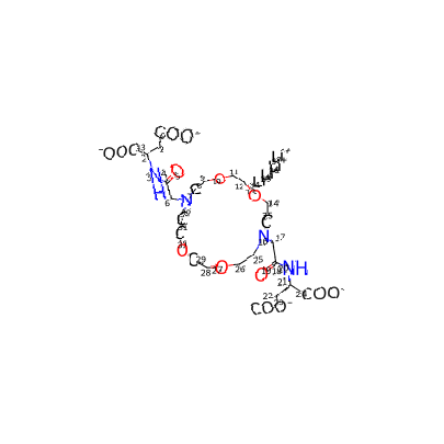 O=C([O-])CC(NC(=O)CN1CCOCCOCCN(CC(=O)NC(CC(=O)[O-])C(=O)[O-])CCOCCOCC1)C(=O)[O-].[Li+].[Li+].[Li+].[Li+]